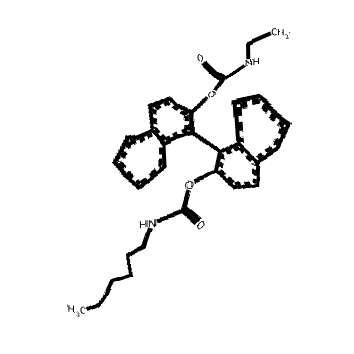 [CH2]CNC(=O)Oc1ccc2ccccc2c1-c1c(OC(=O)NCCCCCC)ccc2ccccc12